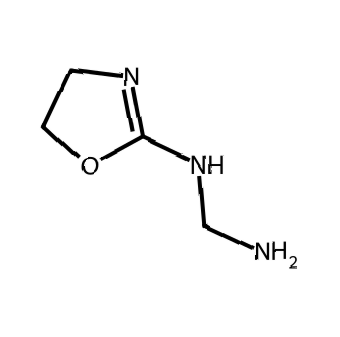 NCNC1=NCCO1